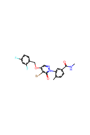 CNC(=O)c1ccc(C)c(-n2ncc(OCc3ccc(F)cc3F)c(Br)c2=O)c1